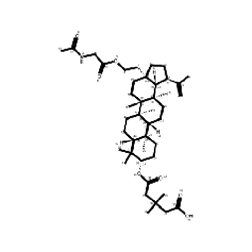 C=C(C)[C@@H]1CC[C@]2(CCOC(=O)CNC(C)=O)CC[C@]3(C)[C@H](CC[C@@H]4[C@@]5(C)CC[C@H](OC(=O)CC(C)(C)CC(=O)O)C(C)(C)[C@@H]5CC[C@]43C)[C@@H]12